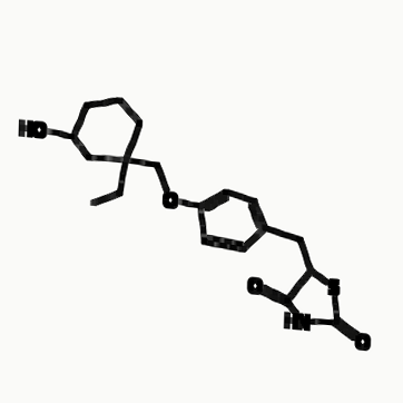 CCC1(COc2ccc(CC3SC(=O)NC3=O)cc2)CCCC(O)C1